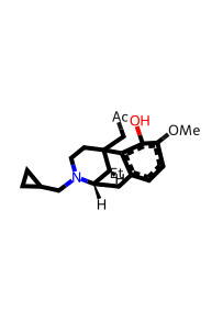 CC[C@@H]1[C@@H]2Cc3ccc(OC)c(O)c3C1(CC(C)=O)CCN2CC1CC1